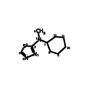 CN(c1nncs1)C1CCCCC1